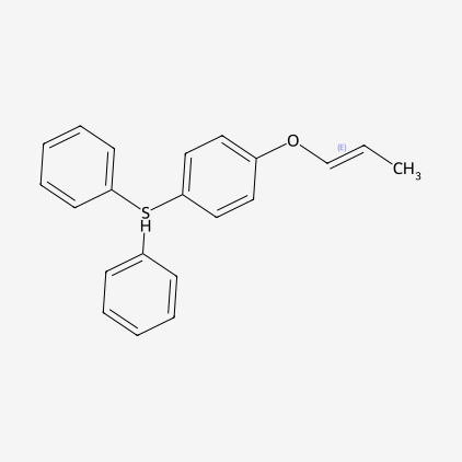 C/C=C/Oc1ccc([SH](c2ccccc2)c2ccccc2)cc1